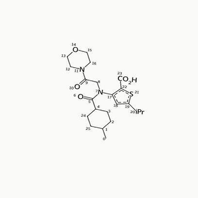 CC1CCC(C(=O)N(CC(=O)N2CCOCC2)c2cc(C(C)C)sc2C(=O)O)CC1